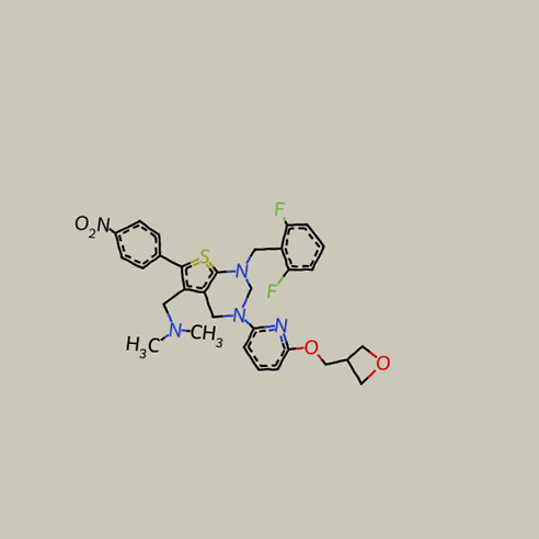 CN(C)Cc1c(-c2ccc([N+](=O)[O-])cc2)sc2c1CN(c1cccc(OCC3COC3)n1)CN2Cc1c(F)cccc1F